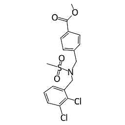 COC(=O)c1ccc(CN(Cc2cccc(Cl)c2Cl)S(C)(=O)=O)cc1